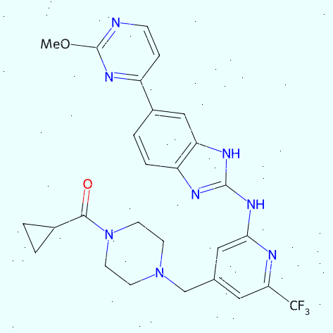 COc1nccc(-c2ccc3nc(Nc4cc(CN5CCN(C(=O)C6CC6)CC5)cc(C(F)(F)F)n4)[nH]c3c2)n1